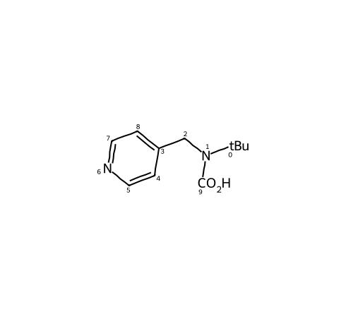 CC(C)(C)N(Cc1ccncc1)C(=O)O